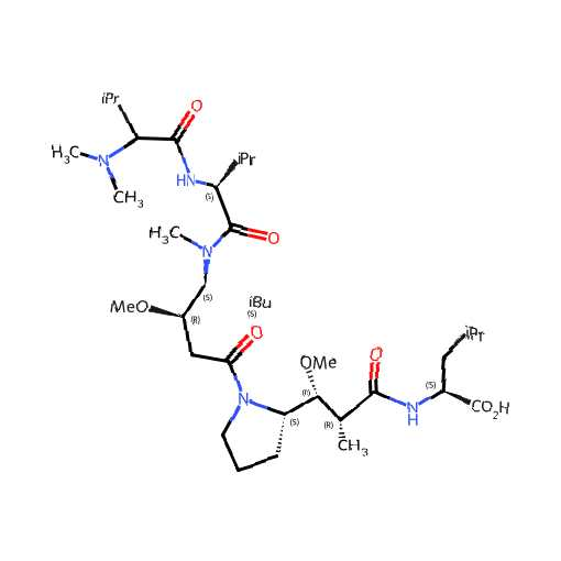 CC[C@H](C)[C@@H]([C@@H](CC(=O)N1CCC[C@H]1[C@H](OC)[C@@H](C)C(=O)N[C@@H](CC(C)C)C(=O)O)OC)N(C)C(=O)[C@@H](NC(=O)C(C(C)C)N(C)C)C(C)C